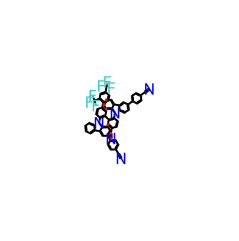 N#Cc1ccc(-c2ccc3c(c2)c2ccccc2n3-c2ccc(C#N)cc2-c2cc(-c3ccc(C(F)(F)F)cc3C(F)(F)F)ccc2-n2c3ccccc3c3cc(-c4ccc(C#N)cc4)ccc32)cc1